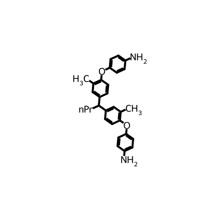 CCCC(c1ccc(Oc2ccc(N)cc2)c(C)c1)c1ccc(Oc2ccc(N)cc2)c(C)c1